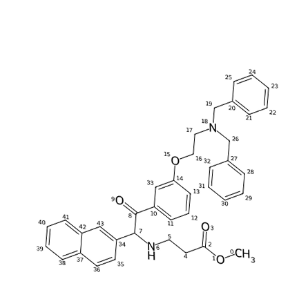 COC(=O)CCNC(C(=O)c1cccc(OCCN(Cc2ccccc2)Cc2ccccc2)c1)c1ccc2ccccc2c1